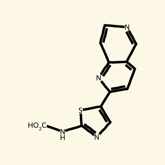 O=C(O)Nc1ncc(-c2ccc3cnccc3n2)s1